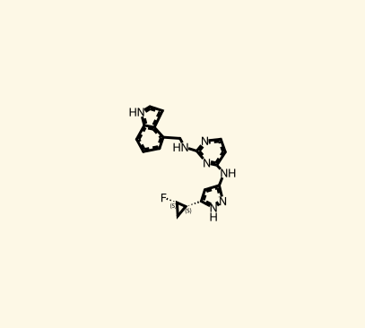 F[C@H]1C[C@H]1c1cc(Nc2ccnc(NCc3cccc4[nH]ccc34)n2)n[nH]1